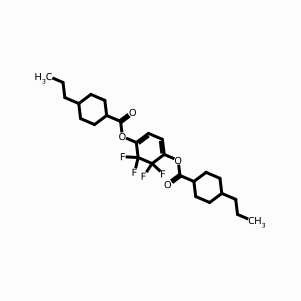 CCCC1CCC(C(=O)OC2=CC=C(OC(=O)C3CCC(CCC)CC3)C(F)(F)C2(F)F)CC1